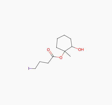 CC1(OC(=O)CCCI)CCCCC1O